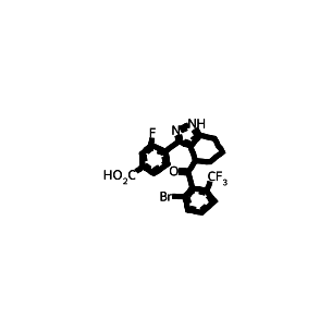 O=C(O)c1ccc(-c2n[nH]c3c2C(C(=O)c2c(Br)cccc2C(F)(F)F)CCC3)c(F)c1